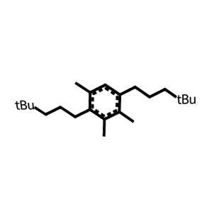 Cc1cc(CCCC(C)(C)C)c(C)c(C)c1CCCC(C)(C)C